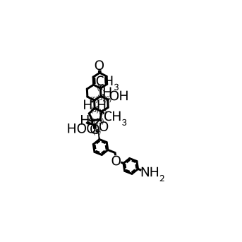 C[C@]12C=CC(=O)C=C1CC[C@@H]1[C@@H]2[C@@H](O)C[C@@]2(C)[C@H]1C[C@H]1O[C@H](c3cccc(COc4ccc(N)cc4)c3)O[C@]12C(=O)CO